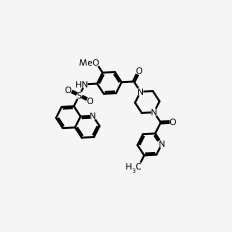 COc1cc(C(=O)N2CCN(C(=O)c3ccc(C)cn3)CC2)ccc1NS(=O)(=O)c1cccc2cccnc12